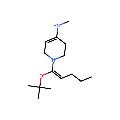 CCC/C=C(/OC(C)(C)C)N1CC=C(NC)CC1